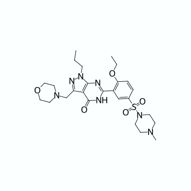 CCCn1nc(CN2CCOCC2)c2c(=O)[nH]c(-c3cc(S(=O)(=O)N4CCN(C)CC4)ccc3OCC)nc21